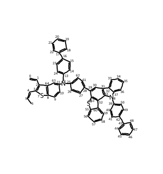 C=Cc1c(/C=C\C)sc2ccc(N(c3ccc(-c4ccccc4)cc3)c3ccc(-c4cc5c6ccccc6n(-c6ccc(-c7ccccc7)cc6)c5c5c4sc4ccccc45)cc3)cc12